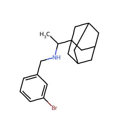 CC(NCc1cccc(Br)c1)C12CC3CC(CC(C3)C1)C2